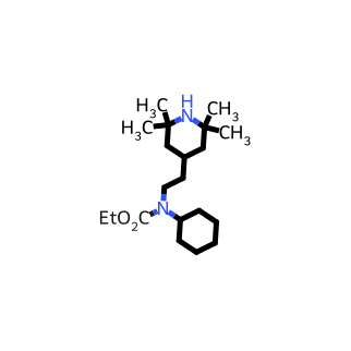 CCOC(=O)N(CCC1CC(C)(C)NC(C)(C)C1)C1CCCCC1